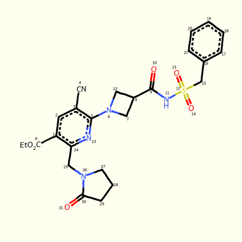 CCOC(=O)c1cc(C#N)c(N2CC(C(=O)NS(=O)(=O)Cc3ccccc3)C2)nc1CN1CCCC1=O